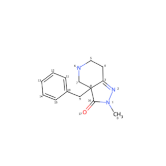 CN1N=C2CC[N]CC2(Cc2ccccc2)C1=O